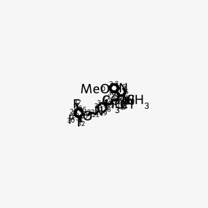 COc1ccc2ncc(N(C)C)c([C@@H](O)CCC3(C(=O)O)CCN(CCOc4cc(F)cc(F)c4F)CC3)c2c1